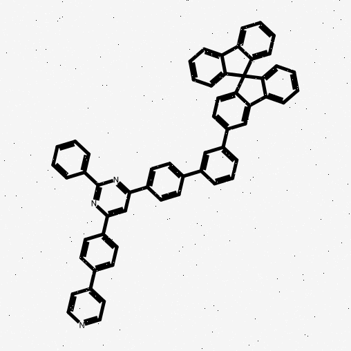 c1ccc(-c2nc(-c3ccc(-c4ccncc4)cc3)cc(-c3ccc(-c4cccc(-c5ccc6c(c5)-c5ccccc5C65c6ccccc6-c6ccccc65)c4)cc3)n2)cc1